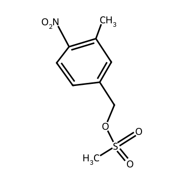 Cc1cc(COS(C)(=O)=O)ccc1[N+](=O)[O-]